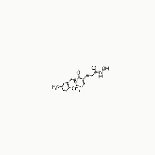 O=C(/C=C/c1cccn(Cc2cc(C(F)(F)F)ccc2C(F)(F)F)c1=O)NO